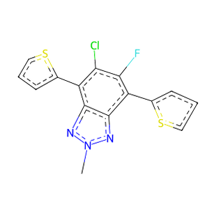 Cn1nc2c(-c3cccs3)c(F)c(Cl)c(-c3cccs3)c2n1